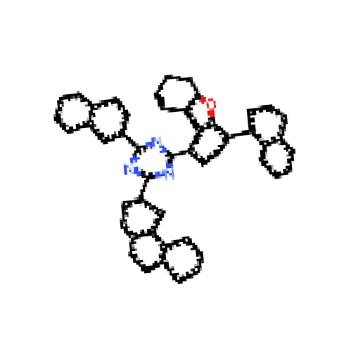 C1=Cc2c(oc3c(-c4cccc5ccccc45)ccc(-c4nc(-c5ccc6ccccc6c5)nc(-c5ccc6ccc7ccccc7c6c5)n4)c23)CC1